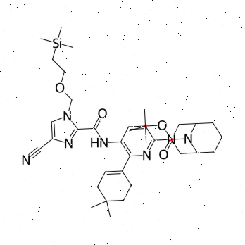 CC1(C)CC=C(c2nc(N3CC4CCCC(C3)N4C(=O)OC(C)(C)C)ccc2NC(=O)c2nc(C#N)cn2COCC[Si](C)(C)C)CC1